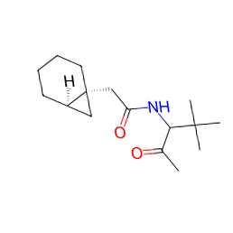 CC(=O)C(NC(=O)C[C@@]12CCCC[C@@H]1C2)C(C)(C)C